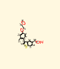 COCCOc1ccc(-c2csc3ccc(CO)cc23)c(C)c1